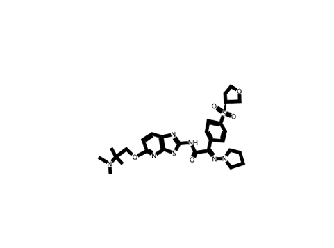 CN(C)C(C)(C)COc1ccc2nc(NC(=O)/C(=N/N3CCCC3)c3ccc(S(=O)(=O)[C@H]4CCOC4)cc3)sc2n1